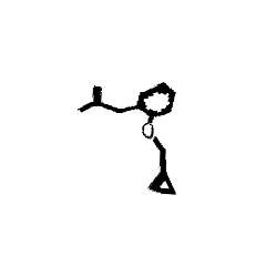 CC(C)Cc1ccccc1OCC1CC1